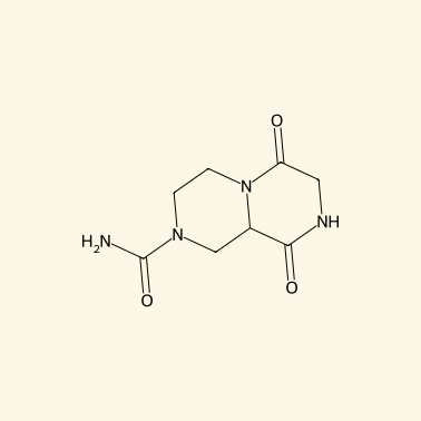 NC(=O)N1CCN2C(=O)CNC(=O)C2C1